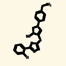 NCc1ccc(N2C=C(Sc3nnc(-c4ccccc4Cl)o3)C(O)C2)cc1